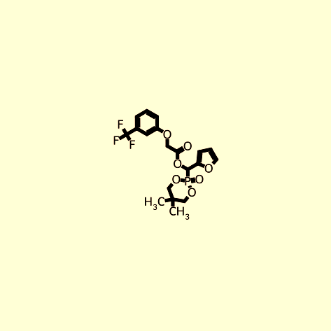 CC1(C)COP(=O)(C(OC(=O)COc2cccc(C(F)(F)F)c2)c2ccco2)OC1